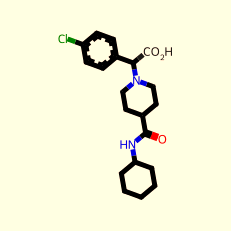 O=C(NC1CCCCC1)C1CCN(C(C(=O)O)c2ccc(Cl)cc2)CC1